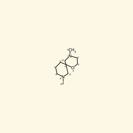 CN1CCOC2(CCCN(I)C2)C1